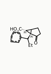 CCC(c1ccccc1)[C@]12C(=O)CCC1[C@H]2C(=O)O